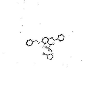 CCN1CCC[C@H]1CNC(=O)c1c(OCc2ccccc2)ccc(OCc2ccccc2)c1OC